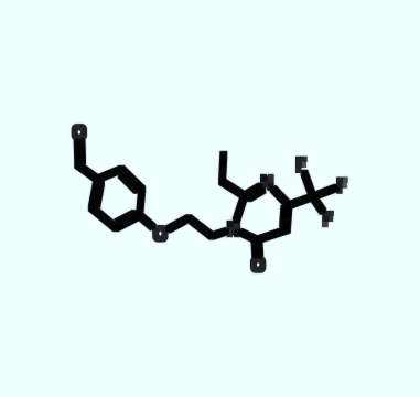 CCc1nc(C(F)(F)F)cc(=O)n1CCOc1ccc(C=O)cc1